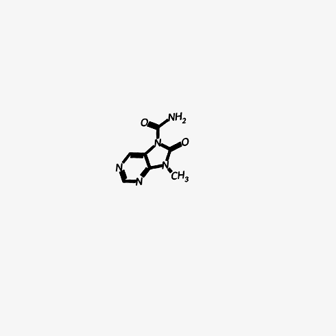 Cn1c(=O)n(C(N)=O)c2cncnc21